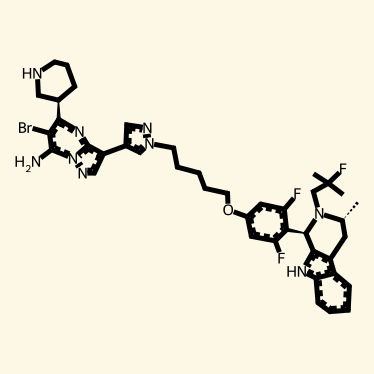 C[C@@H]1Cc2c([nH]c3ccccc23)[C@@H](c2c(F)cc(OCCCCCn3cc(-c4cnn5c(N)c(Br)c([C@@H]6CCCNC6)nc45)cn3)cc2F)N1CC(C)(C)F